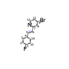 Fc1ccc(/C=C/c2cc(Br)ccn2)cc1